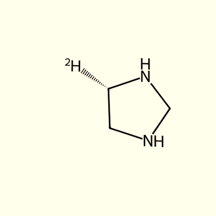 [2H][C@H]1CNCN1